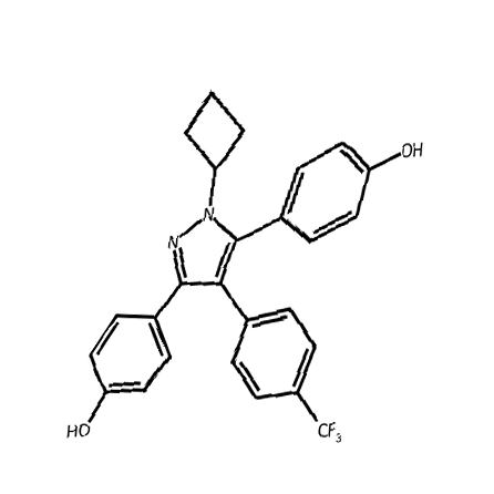 Oc1ccc(-c2nn(C3CCC3)c(-c3ccc(O)cc3)c2-c2ccc(C(F)(F)F)cc2)cc1